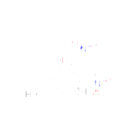 CCCCC1(C(=O)O)C=C([N+](=O)[O-])C=C([N+](=O)[O-])C1C